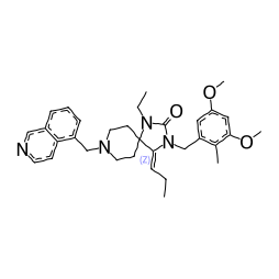 CC/C=C1\N(Cc2cc(OC)cc(OC)c2C)C(=O)N(CC)C12CCN(Cc1cccc3cnccc13)CC2